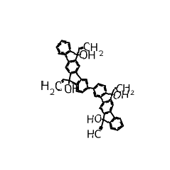 C#CC1(O)c2ccccc2-c2cc3c(cc21)-c1cc(-c2ccc4c(c2)-c2cc5c(cc2C4(O)C=C)-c2ccccc2C5(O)C=C)ccc1C3(O)C=C